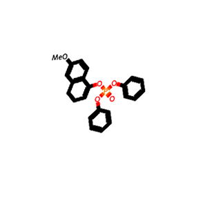 COc1ccc2c(c1)CCC=C2OP(=O)(Oc1ccccc1)Oc1ccccc1